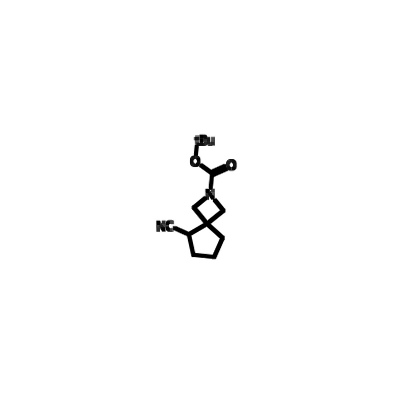 CC(C)(C)OC(=O)N1CC2(CCCC2C#N)C1